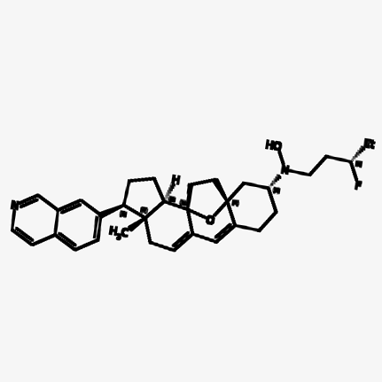 CC[C@H](F)CCN(O)[C@@H]1CCC2=CC3=CC[C@]4(C)[C@@H](c5ccc6ccncc6c5)CC[C@H]4[C@@]34CC[C@]2(C1)O4